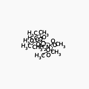 CCC(=O)OC(C)C[C@@](N)(Cc1ccc(OC(=O)C(C)C(C)C)c(OC(=O)C(C)C(C)C)c1)C(=O)OC